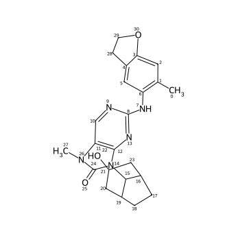 Cc1cc2c(cc1Nc1ncc3c(n1)n(C1C4CCC1CC(O)C4)c(=O)n3C)CCO2